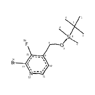 CC(C)(C)[Si](C)(C)OCc1ccnc(Br)c1F